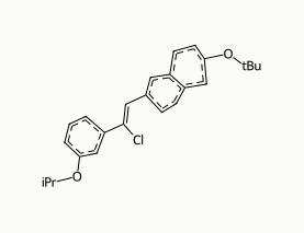 CC(C)Oc1cccc(/C(Cl)=C/c2ccc3cc(OC(C)(C)C)ccc3c2)c1